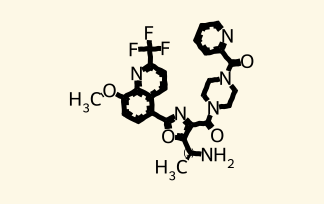 COc1ccc(-c2nc(C(=O)N3CCN(C(=O)c4ccccn4)CC3)c([C@H](C)N)o2)c2ccc(C(F)(F)F)nc12